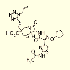 C=CCn1nnnc1SCC1(C(=O)O)CS[C@@H]2C(NC(=O)C(=NOC3CCCC3)c3csc(NC(=O)C(F)(F)F)n3)C(=O)N2C1